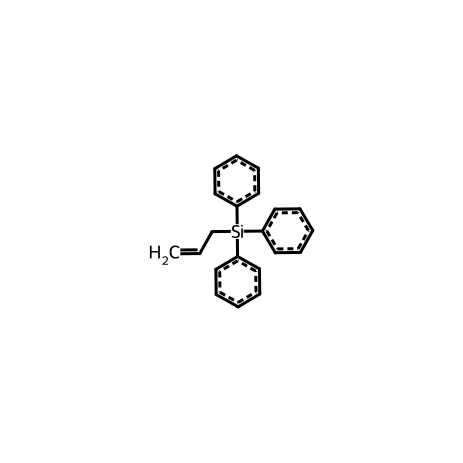 C=CC[Si](c1ccccc1)(c1ccccc1)c1ccccc1